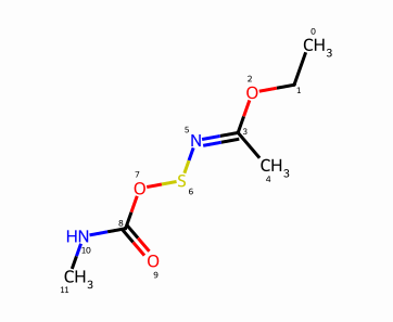 CCO/C(C)=N/SOC(=O)NC